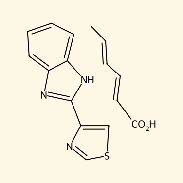 CC=CC=CC(=O)O.c1ccc2[nH]c(-c3cscn3)nc2c1